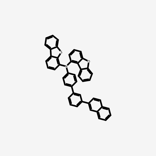 c1cc(-c2ccc(N(c3cccc4c3sc3ccccc34)c3cccc4oc5ccccc5c34)cc2)cc(-c2ccc3ccccc3c2)c1